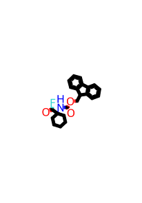 O=C(NC1(C(=O)F)CCCCC1)OCC1c2ccccc2-c2ccccc21